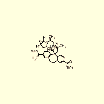 C=C(NC)c1ccc2c(c1)CCc1cc(C(=O)NC)ccc1C2(C[C@@H](C)NCC(=C)N1C(C#N)C[C@@H]2C[C@@H]21)C(=N)NC(C)C